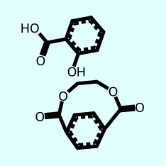 O=C(O)c1ccccc1O.O=C1OCCOC(=O)c2ccc1cc2